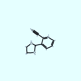 N#Cc1ncccc1C1OCCO1